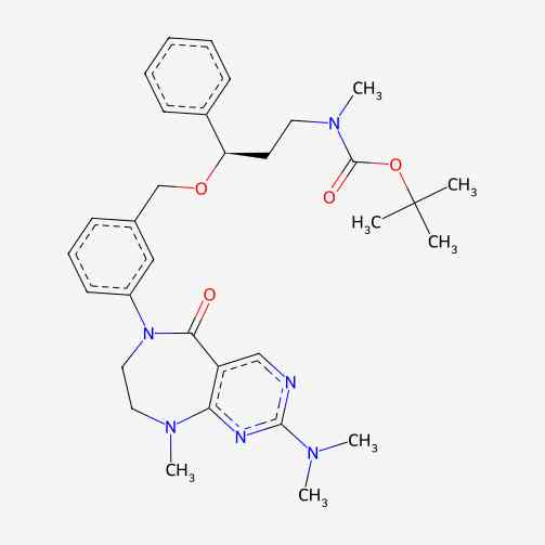 CN(CC[C@@H](OCc1cccc(N2CCN(C)c3nc(N(C)C)ncc3C2=O)c1)c1ccccc1)C(=O)OC(C)(C)C